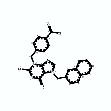 Nc1nc(=O)c2c(ncn2Cc2ccc3ccccc3c2)n1Cc1ccc(C(=O)O)cc1